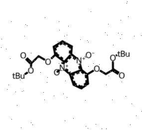 CC(C)(C)OC(=O)COc1cccc2c1[n+]([O-])c1cccc(OCC(=O)OC(C)(C)C)c1[n+]2[O-]